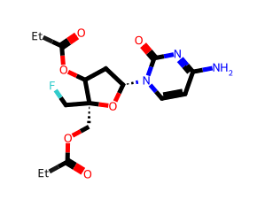 CCC(=O)OC[C@@]1(CF)O[C@@H](n2ccc(N)nc2=O)CC1OC(=O)CC